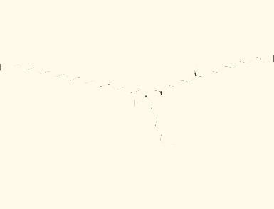 CCCCCCCCCCCCCCCCCCC(O)(CCCCCCC)OC(=O)CCCCC(=O)OCCCCCCCC